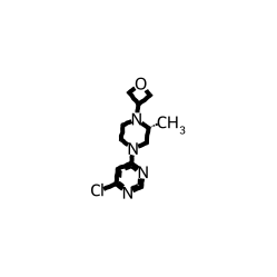 C[C@@H]1CN(c2cc(Cl)ncn2)CCN1C1COC1